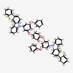 c1ccc2c(c1)Oc1cc(-n3c4ccccc4c4c5sc6ccccc6c5ccc43)cc3c1B2c1cc2c(cc1O3)B1c3ccccc3Oc3cc(-n4c5ccccc5c5c6sc7ccccc7c6ccc54)cc(c31)O2